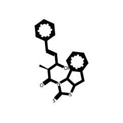 C[C@H](C(=O)N1C(=S)SC2Cc3ccccc3C21)C(O)/C=C/c1ccccc1